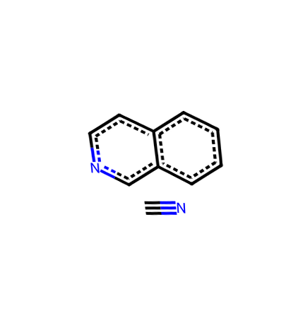 C#N.c1ccc2cnccc2c1